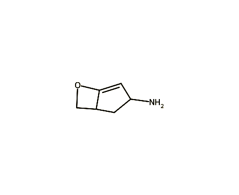 NC1C=C2OCC2C1